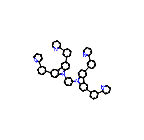 c1ccc(-c2cccc(-c3ccc4c(c3)c3cc(-c5cccc(-c6ccccn6)c5)ccc3n4-c3cccc(-n4c5ccc(-c6cccc(-c7ccccn7)c6)cc5c5cc(-c6cccc(-c7ccccn7)c6)ccc54)c3)c2)nc1